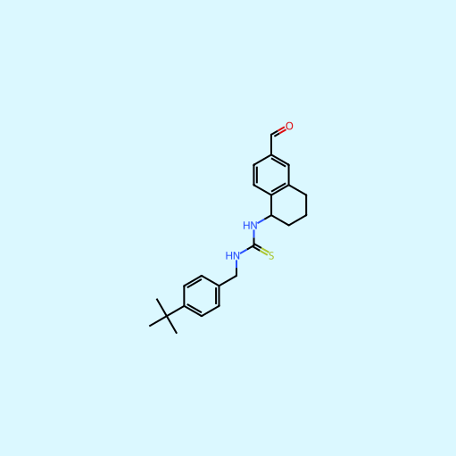 CC(C)(C)c1ccc(CNC(=S)NC2CCCc3cc(C=O)ccc32)cc1